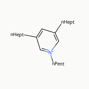 CCCCCCCc1cc(CCCCCCC)c[n+](CCCCC)c1